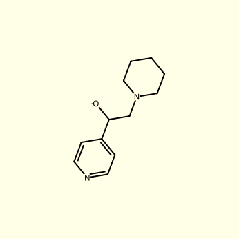 [O]C(CN1CCCCC1)c1ccncc1